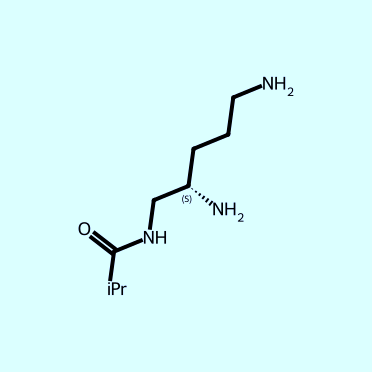 CC(C)C(=O)NC[C@@H](N)CCCN